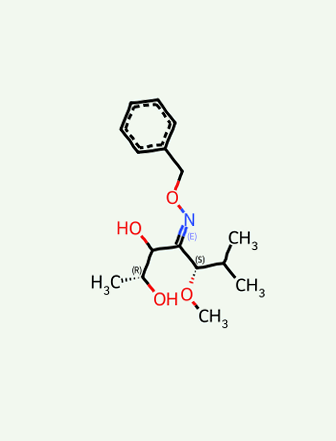 CO[C@H](/C(=N/OCc1ccccc1)C(O)[C@@H](C)O)C(C)C